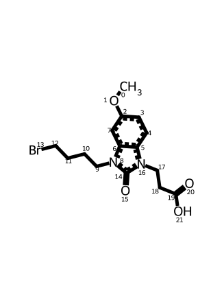 COc1ccc2c(c1)n(CCCCBr)c(=O)n2CCC(=O)O